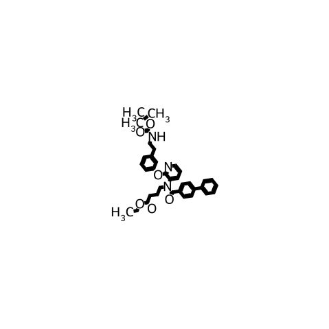 CCOC(=O)CCCN(C(=O)c1ccc(-c2ccccc2)cc1)c1cccnc1Oc1cccc(CCNC(=O)OC(C)(C)C)c1